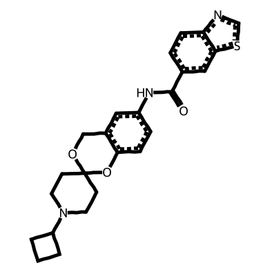 O=C(Nc1ccc2c(c1)COC1(CCN(C3CCC3)CC1)O2)c1ccc2ncsc2c1